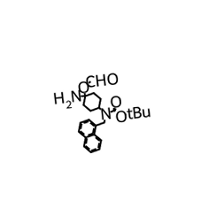 CC(C)(C)OC(=O)N(Cc1cccc2ccccc12)C1CCC(N)(OC=O)CC1